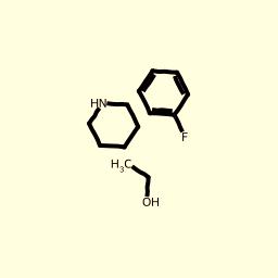 C1CCNCC1.CCO.Fc1ccccc1